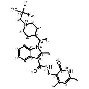 Cc1cc(C)c(CNC(=O)c2c(C)n([C@H](C)C3CCN(CC(F)(F)F)CC3)c3ccccc23)c(=O)[nH]1